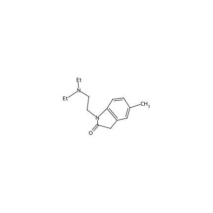 CCN(CC)CCN1C(=O)Cc2cc(C)ccc21